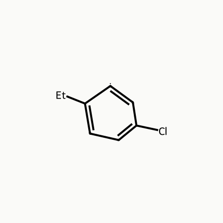 CCc1[c]cc(Cl)cc1